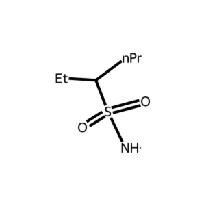 CCCC(CC)S([NH])(=O)=O